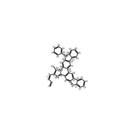 C=C/C=C\c1nc2c3cc4sc5ccccc5c4cc3c3cc4c5ccccc5n(-c5ccccc5)c4cc3n2c1C